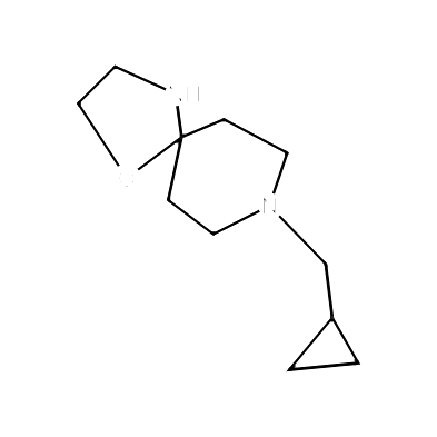 C1COC2(CCN(CC3CC3)CC2)N1